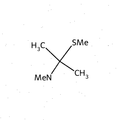 CNC(C)(C)SC